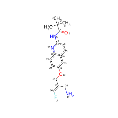 CC(C)(C)C(=O)Nc1ccc2cc(OC/C(=C/F)CN)ccc2n1